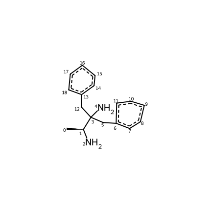 C[C@H](N)C(N)(Cc1ccccc1)Cc1ccccc1